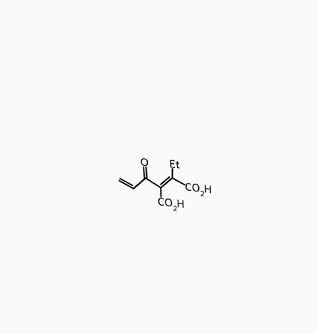 C=CC(=O)/C(C(=O)O)=C(\CC)C(=O)O